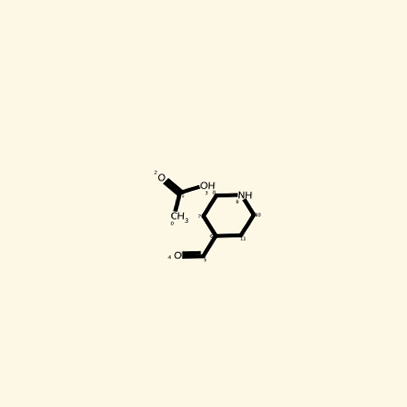 CC(=O)O.O=CC1CCNCC1